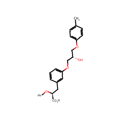 Cc1ccc(OC[C@H](O)COc2cccc(C[C@H](OC(C)C)C(=O)O)c2)cc1